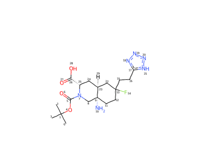 CC(C)(C)OC(=O)N1C[C@]2(N)CCC(F)(CCc3nnn[nH]3)C[C@@H]2C[C@H]1C(=O)O